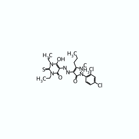 CCCc1c(/N=N/c2c(O)n(CC)c(=S)n(CC)c2=O)c(=O)n(-c2ccc(Cl)cc2Cl)n1C